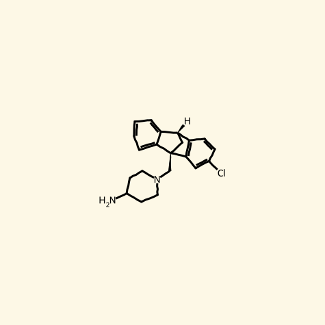 NC1CCN(C[C@]23C[C@H](c4ccccc42)c2ccc(Cl)cc23)CC1